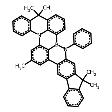 Cc1cc2c3c(c1)N1c4ccccc4C(C)(C)c4cccc(c41)B3N(c1ccccc1)c1cc3c(cc1-2)-c1ccccc1C3(C)C